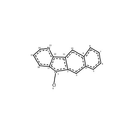 Cln1c2cc3ccccc3cc2c2ncccc21